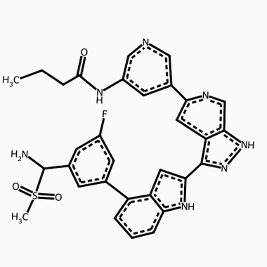 CCCC(=O)Nc1cncc(-c2cc3c(-c4cc5c(-c6cc(F)cc(C(N)S(C)(=O)=O)c6)cccc5[nH]4)n[nH]c3cn2)c1